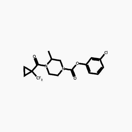 CC1CN(C(=O)Oc2cccc(Cl)c2)CCN1C(=O)C1(C(F)(F)F)CC1